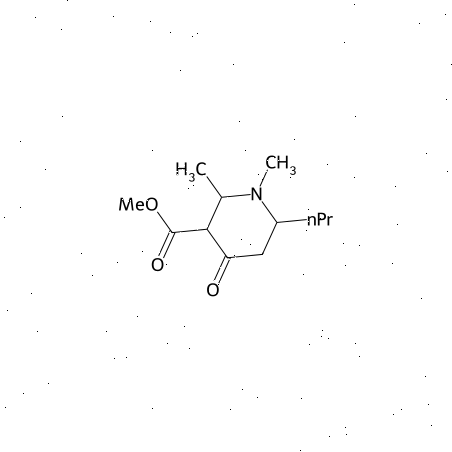 CCCC1CC(=O)C(C(=O)OC)C(C)N1C